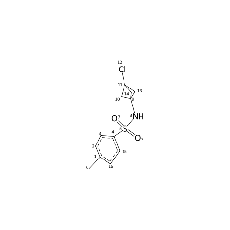 Cc1ccc(S(=O)(=O)NC23CC(Cl)(C2)C3)cc1